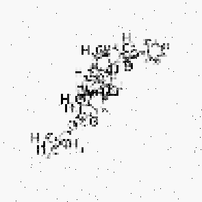 CC1(C)[C@@H](C(=O)OCOCC[Si](C)(C)C)CC[C@]2(C)[C@H]3C(=O)C=C4[C@@H]5C[C@@](C)(C(=O)OCc6ccccc6)CC[C@]5(C)CC[C@@]4(C)[C@]3(C)CC[C@@H]12